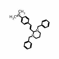 CN(C)c1ccc(/C=C/C2N(Cc3ccccc3)CCCN2Cc2ccccc2)cc1